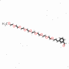 COCCOCCOCCOCCOCCOCCOCCOCCOCCCc1cccc(C=O)c1